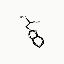 O=C(O)C(Cn1nc2ccccc2n1)C(=O)O